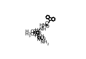 CC1(C)O[C@@H]2[C@H](O1)[C@@H](CNCCNC(=O)OCC1c3ccccc3-c3ccccc31)O[C@H]2n1cnc2c(N)ncnc21